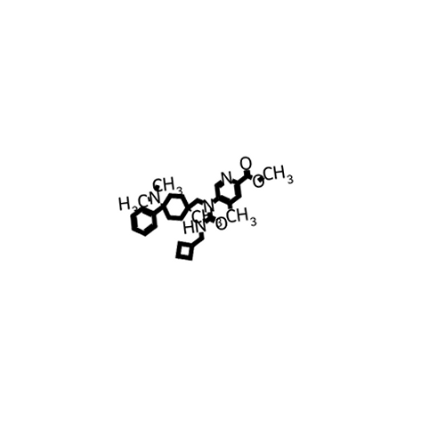 COC(=O)c1cc(C)c(N(C[C@]2(C)CC[C@@](c3ccccc3)(N(C)C)CC2)C(=O)NCC2CCC2)cn1